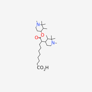 CC1C(OC(=O)C(CCCCCCCC(=O)O)C2CCN(C)C(C)(C)C2C)CCN(C)C1(C)C